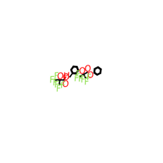 O=C(OCc1cccc(OC(C(=O)Oc2ccccc2)(C(F)(F)F)C(F)(F)F)c1)C(O)(C(F)(F)F)C(F)(F)F